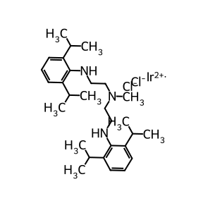 CC(C)c1cccc(C(C)C)c1NCCN(C)CCNc1c(C(C)C)cccc1C(C)C.[Cl-].[Cl-].[Ir+2]